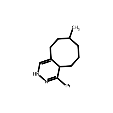 CC1CCCC2C(=CNN=C2C(C)C)CC1